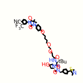 Cc1ncsc1-c1ccc(CNC(=O)[C@@H]2C[C@@H](O)CN2C(=O)[C@@H](NC(=O)CCOCCOCCCCCOc2ccc(N3C(=O)N(c4ccc(C#N)c(C(F)(F)F)c4)C(=O)C3(C)C)cc2)C(C)(C)C)cc1